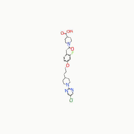 O=C(O)C1CCN(C(=O)Cc2ccc(OCCCC3CCN(c4ncc(Cl)cn4)CC3)cc2F)CC1